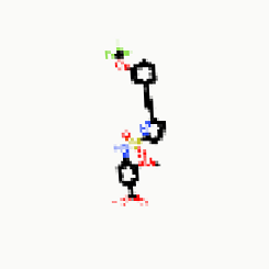 COc1cc(C(=O)O)ccc1NS(=O)(=O)c1cccc(C#Cc2cccc(OC(F)(F)F)c2)n1